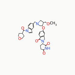 COC[C@@H]1CN(Cc2ccc3c(ccn3C(=O)C3CCOCC3)c2)C[C@H]1Oc1ccc2c(c1)CN([C@H]1CCC(=O)NC1=O)C2=O